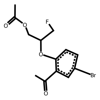 CC(=O)OCC(CF)Oc1ccc(Br)cc1C(C)=O